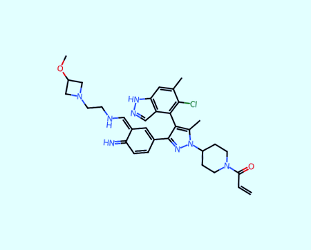 C=CC(=O)N1CCC(n2nc(C3=C/C(=C/NCCN4CC(OC)C4)C(=N)C=C3)c(-c3c(Cl)c(C)cc4[nH]ncc34)c2C)CC1